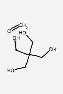 C=O.OCC(CO)(CO)CO